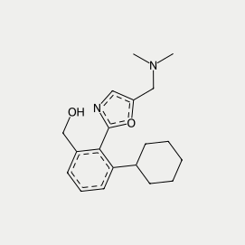 CN(C)Cc1cnc(-c2c(CO)cccc2C2CCCCC2)o1